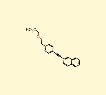 O=C(O)COCCc1ccc(C#Cc2ccc3ccccc3c2)cc1